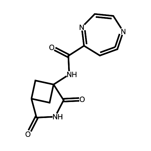 O=C(NC12CC(C1)C(=O)NC2=O)C1=NC=CN=C=C1